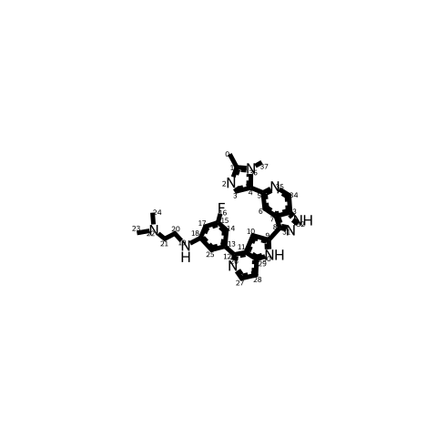 Cc1ncc(-c2cc3c(-c4cc5c(-c6cc(F)cc(NCCN(C)C)c6)nccc5[nH]4)n[nH]c3cn2)n1C